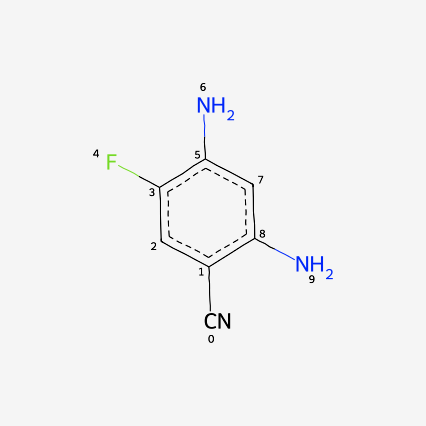 N#Cc1cc(F)c(N)cc1N